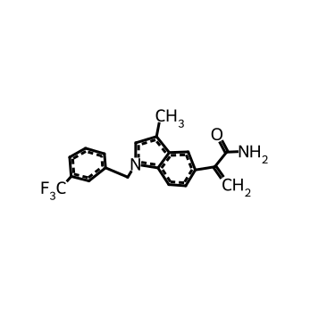 C=C(C(N)=O)c1ccc2c(c1)c(C)cn2Cc1cccc(C(F)(F)F)c1